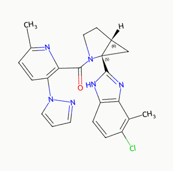 Cc1ccc(-n2cccn2)c(C(=O)N2CC[C@@H]3C[C@@]32c2nc3c(C)c(Cl)ccc3[nH]2)n1